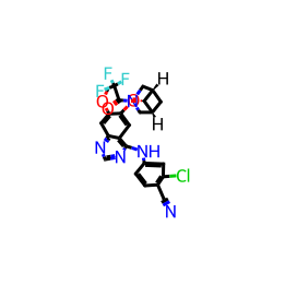 COc1cc2ncnc(Nc3ccc(C#N)c(Cl)c3)c2cc1O[C@H]1[C@@H]2C[C@H]1CN(C(=O)C(F)(F)F)C2